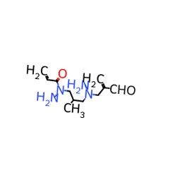 C=CC(=O)N(N)CC(C)CN(N)CC(=C)C=O